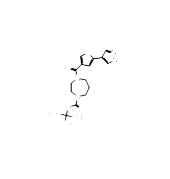 CC(C)(C)OC(=O)N1CCCN(C(=O)c2csc(-c3cn[nH]c3)c2)CC1